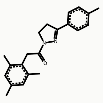 Cc1ccc(C2=NN(C(=O)Cc3c(C)cc(C)cc3C)CC2)cc1